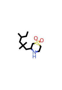 CCC(C)CC(C)(C)CC1CS(=O)(=O)CCN1